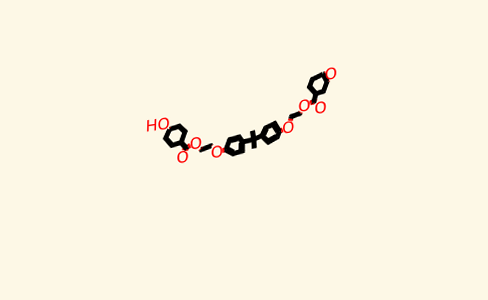 CC(C)(c1ccc(OCCOC(=O)C2CCC(O)CC2)cc1)c1ccc(OCCOC(=O)C2CCC3OC3C2)cc1